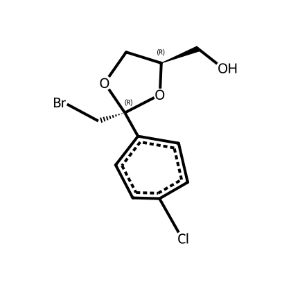 OC[C@@H]1CO[C@](CBr)(c2ccc(Cl)cc2)O1